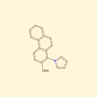 COc1ccc2c(ccc3ccccc32)c1-n1cccc1